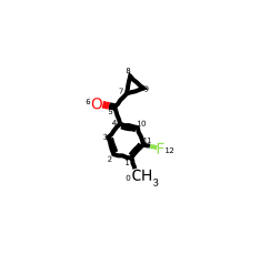 Cc1ccc(C(=O)C2CC2)cc1F